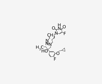 C=C/N=N\N(CCCCn1cc(F)c(=O)[nH]c1=O)C[C@](O)(CC)c1ccc(F)c(OCC2CC2)c1